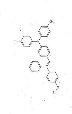 CCOc1ccc(C(=Cc2ccc(N(c3ccc(C)cc3)c3ccc(CC)cc3)cc2)c2ccccc2)cc1